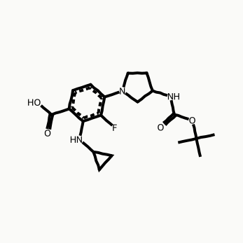 CC(C)(C)OC(=O)NC1CCN(c2ccc(C(=O)O)c(NC3CC3)c2F)C1